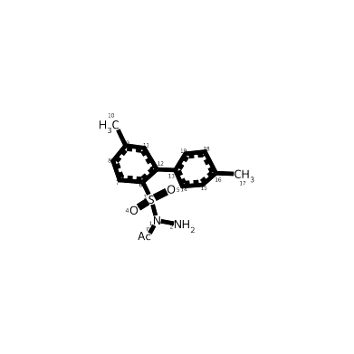 CC(=O)N(N)S(=O)(=O)c1ccc(C)cc1-c1ccc(C)cc1